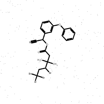 CC(C)(CC(=O)OC(C#N)c1cccc(Oc2ccccc2)c1)C(Br)CC(Br)(Br)Br